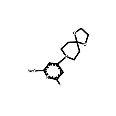 COc1cc(N2CCC3(CC2)OCCO3)cc(F)n1